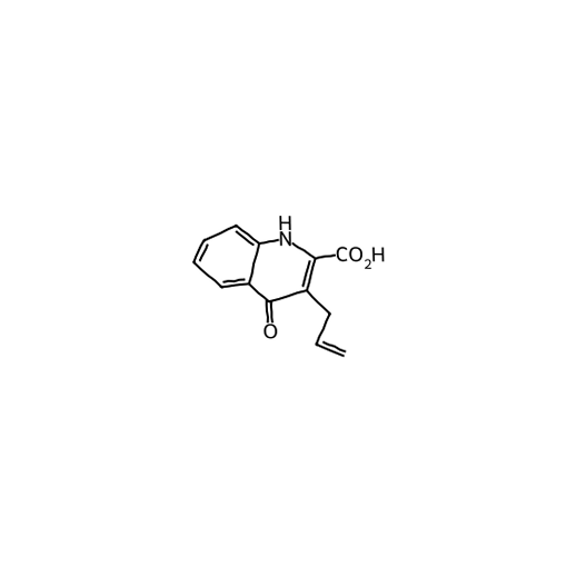 C=CCc1c(C(=O)O)[nH]c2ccccc2c1=O